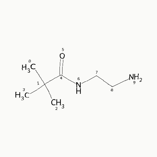 CC(C)(C)C(=O)NCCN